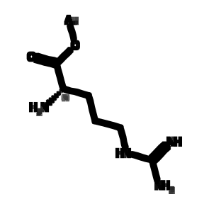 N=C(N)NCCC[C@H](N)C(=O)[O][Au]